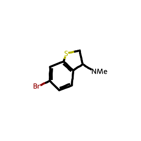 CNC1CSc2cc(Br)ccc21